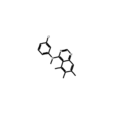 Cc1cc2ncnc(N(C)c3cccc(Cl)c3)c2c(C)c1C